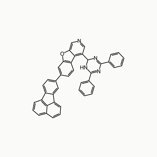 c1ccc(C2=NC(c3cncc4oc5cc(-c6ccc7c(c6)-c6cccc8cccc-7c68)ccc5c34)NC(c3ccccc3)=N2)cc1